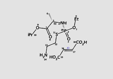 CCO[P@](=O)(N[C@@H](C)C(=O)OC(C)C)SCCN.O=C(O)/C=C/C(=O)O